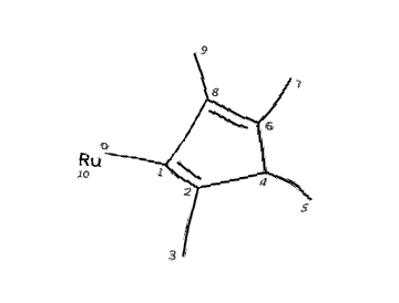 CC1=C(C)C(C)C(C)=C1C.[Ru]